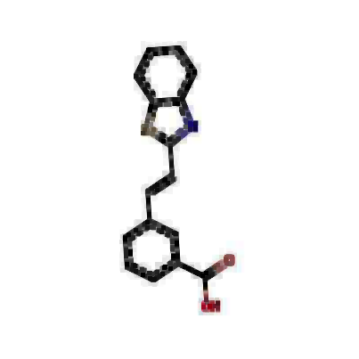 O=C(O)c1cccc(/C=C/c2nc3ccccc3s2)c1